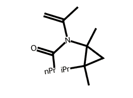 C=C(C)N(C(=O)CCC)C1(C)CC1(C)C(C)C